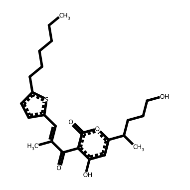 CCCCCCc1ccc(C=C(C)C(=O)c2c(O)cc(C(C)CCCO)oc2=O)s1